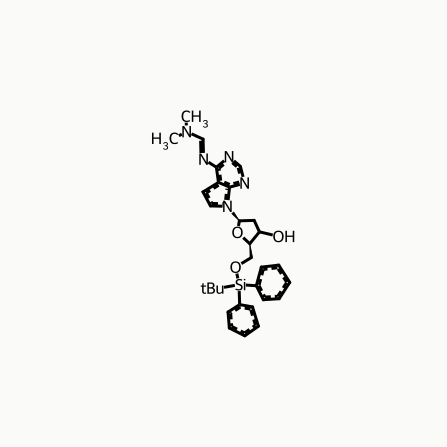 CN(C)/C=N/c1ncnc2c1ccn2[C@H]1CC(O)[C@@H](CO[Si](c2ccccc2)(c2ccccc2)C(C)(C)C)O1